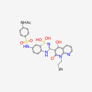 CC(=O)Nc1ccc(S(=O)(=O)Nc2ccc3c(c2)S(O)(O)N=C(c2c(O)c4cccnc4n(CCC(C)C)c2=O)N3)cc1